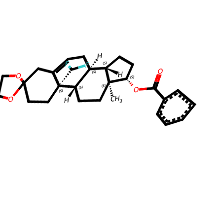 C[C@]12CC[C@H]3[C@@H](CC=C4CC5(CC[C@@]43C(F)F)OCCO5)[C@@H]1CC[C@@H]2OC(=O)c1ccccc1